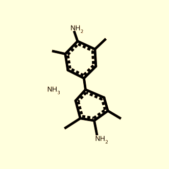 Cc1cc(-c2cc(C)c(N)c(C)c2)cc(C)c1N.N